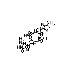 Nc1nc2c(ncn2[C@H]2CC3OP(=O)(S)OC[C@H]4O[C@@H](n5cnc6c(N)ncnc65)[C@@H](F)[C@H]4OP(=O)(O)OC[C@H]3C2)c(=O)[nH]1